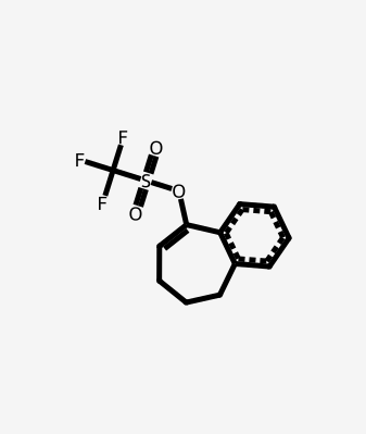 O=S(=O)(OC1=CCCCc2ccccc21)C(F)(F)F